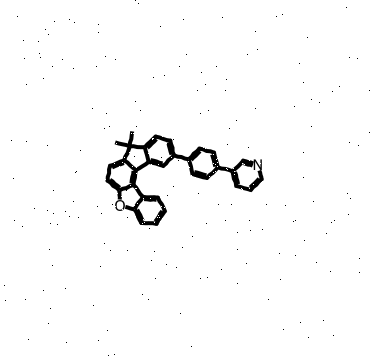 CC1(C)c2ccc(-c3ccc(-c4cccnc4)cc3)cc2-c2c1ccc1oc3ccccc3c21